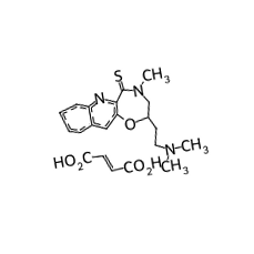 CN(C)CCC1CN(C)C(=S)c2nc3ccccc3cc2O1.O=C(O)/C=C/C(=O)O